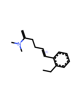 C=C(CC/C=C/c1ccccc1CC)N(C)C